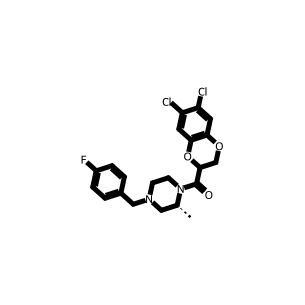 C[C@@H]1CN(Cc2ccc(F)cc2)CCN1C(=O)C1COc2cc(Cl)c(Cl)cc2O1